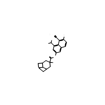 C#Cc1c(F)ccc2cc(OC(=O)C3(C)CC4CC5CC(C3)C54)cc(C(C)C)c12